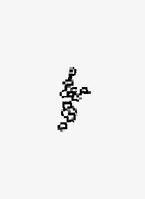 c1ccc(-c2ccc(-c3cccc4c3oc3c(-c5ccccc5)ccc(-c5ccc6ccc7c(-c8ccccc8)ccc8ccc5c6c87)c34)cc2)cc1